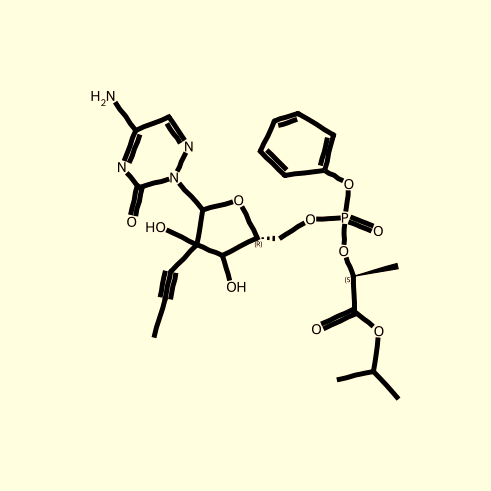 CC#CC1(O)C(O)[C@@H](COP(=O)(Oc2ccccc2)O[C@@H](C)C(=O)OC(C)C)OC1n1ncc(N)nc1=O